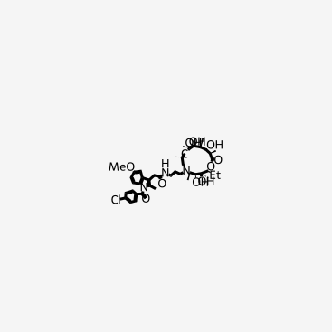 CC[C@H]1OC(=O)[C@H](C)[C@@H](O)[C@H](C)[C@@H](O)[C@](C)(O)C[C@@H](C)CN(CCCNC(=O)Cc2c(C)n(C(=O)c3ccc(Cl)cc3)c3ccc(OC)cc23)[C@H](C)[C@@H](O)[C@]1(C)O